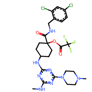 CNc1nc(NC2CCC(OC(=O)C(F)(F)F)(C(=O)NCc3ccc(Cl)cc3Cl)CC2)nc(N2CCN(C)CC2)n1